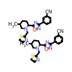 CC1CCC(c2nc(-c3cccc(C#N)c3)no2)N(Cc2nccs2)C1.CC1CCC(c2nc(-c3cccc(C#N)c3)no2)N(Cc2nccs2)C1